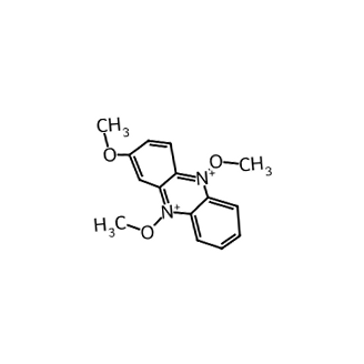 COc1ccc2c(c1)[n+](OC)c1ccccc1[n+]2OC